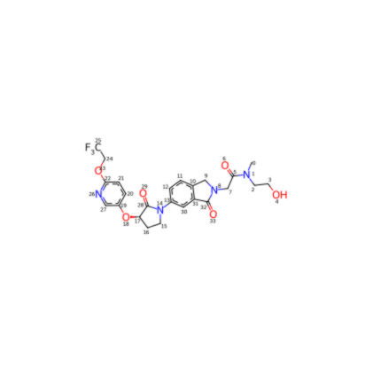 CN(CCO)C(=O)CN1Cc2ccc(N3CC[C@@H](Oc4ccc(OCC(F)(F)F)nc4)C3=O)cc2C1=O